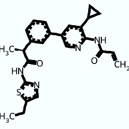 C=CC(=O)Nc1ncc(-c2cccc([C@H](C)C(=O)Nc3ncc(CC)s3)c2)cc1C1CC1